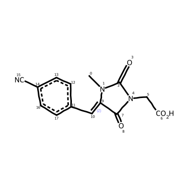 CN1C(=O)N(CC(=O)O)C(=O)/C1=C/c1ccc(C#N)cc1